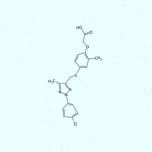 Cc1cc(SCc2nn(-c3ccc(Cl)cc3)nc2C)ccc1OCC(=O)O